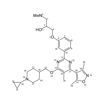 CNCC(O)COc1cccc(-c2nc(OCC3CCN(C4CC4)CC3)c(C)c(-c3c(C)noc3C)n2)c1